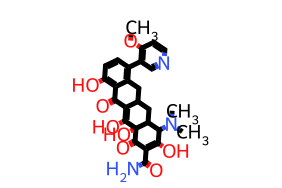 COc1ccncc1-c1ccc(O)c2c1CC1CC3C(N(C)C)C(O)=C(C(N)=O)C(=O)C3(O)C(O)=C1C2=O